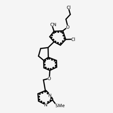 CSc1nccc(COc2ccc3c(c2)CCC3c2cc(Cl)c(OCCCl)c(C#N)c2)n1